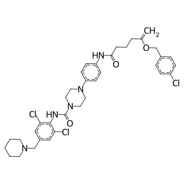 C=C(CCCC(=O)Nc1ccc(N2CCN(C(=O)Nc3c(Cl)cc(CN4CCCCC4)cc3Cl)CC2)cc1)OCc1ccc(Cl)cc1